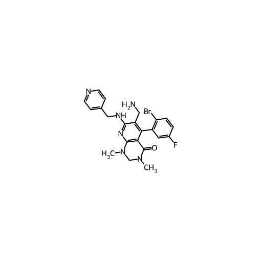 CN1CN(C)c2nc(NCc3ccncc3)c(CN)c(-c3cc(F)ccc3Br)c2C1=O